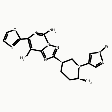 CCn1cc(N2C[C@H](c3nc4c(C)c(-c5ncco5)nc(N)n4n3)CC[C@@H]2C)cn1